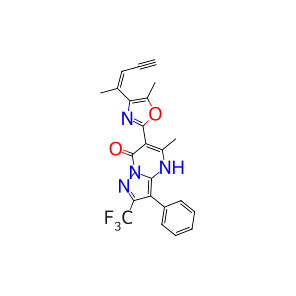 C#C/C=C(/C)c1nc(-c2c(C)[nH]c3c(-c4ccccc4)c(C(F)(F)F)nn3c2=O)oc1C